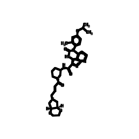 Cc1cc(OC(C)C)ccc1N1C(=O)Nc2c(C(=O)N[C@@H]3CCCN(C(=O)/C=C/CN4C[C@@H]5OCCO[C@@H]5C4)C3)sc3nccc1c23